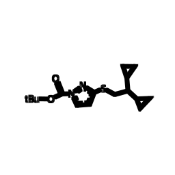 CC(C)(C)OC(=O)n1ccc(SCC(C2CC2)C2CC2)n1